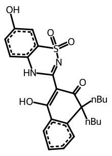 CCCCC1(CCCC)C(=O)C(C2=NS(=O)(=O)c3cc(O)ccc3N2)=C(O)c2ccccc21